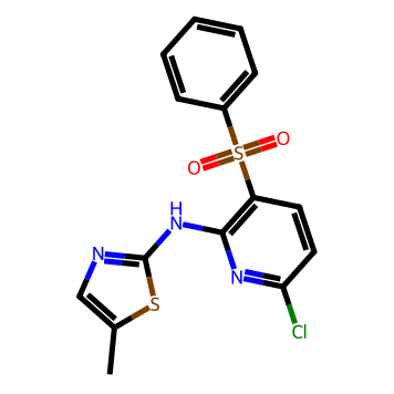 Cc1cnc(Nc2nc(Cl)ccc2S(=O)(=O)c2ccccc2)s1